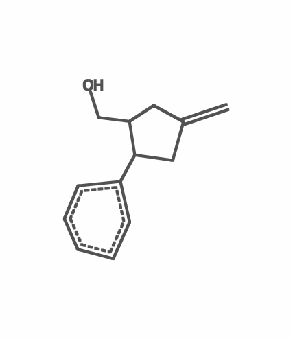 C=C1CC(CO)C(c2ccccc2)C1